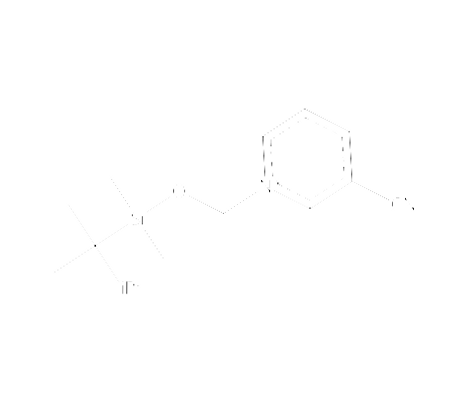 CC(C)C(C)(C)[Si](C)(C)OC[n+]1cccc(C#N)c1